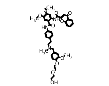 COc1cc(NC(=O)c2cc(=O)c3ccccc3o2)c(C(=O)Nc2ccc(CCN(C)Cc3ccc(OCCOCCO)c(OC)c3)cc2)cc1OC